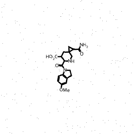 COc1ccc2c(c1)CCN2C(=O)C1NCC2(CC1C(=O)O)CC2C(N)=O